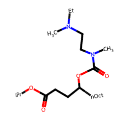 [CH2]C([CH2])OC(=O)CCC(CCCCCCCC)OC(=O)N(C)CCN(C)CC